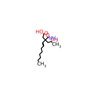 CCCCCCC=CC(CC(=O)O)(CC(C)O)C(N)=O